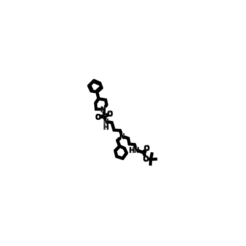 CC(C)(C)OC(=O)NCCCN(CCCNS(=O)(=O)N1CCC(c2ccccc2)CC1)CC1CCCCC1